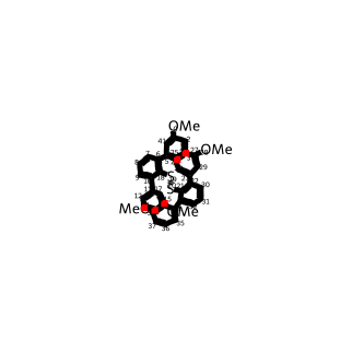 COc1cccc(-c2cccc(-c3cccc(OC)c3)c2SSc2c(-c3cccc(OC)c3)cccc2-c2cccc(OC)c2)c1